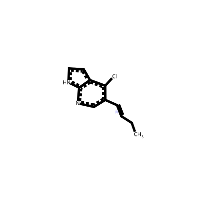 CC/C=C/c1cnc2[nH]ccc2c1Cl